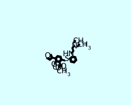 CCN(CC)CCNc1ccccc1SCc1ccc(-c2ccoc2)c(OC)c1C(=O)OC